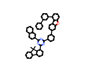 CC1(C)c2ccccc2-c2cccc(-c3nc(-c4cccc(-c5ccc6c(c5)oc5cccc(-c7cccc(-c8ccccc8)c7)c56)c4)nc(-c4ccc5ccccc5c4)n3)c21